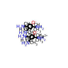 CC(C)(N)c1cc(C(C)(C)N)c(C(C)(C)N)cc1[O-].CC(C)(N)c1cc(C(C)(C)N)c(C(C)(C)N)cc1[O-].[Ca+2]